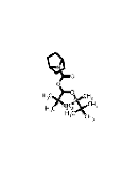 CC(C)(C)C(OC(=O)N1C2CCC1CC2)O[Si](C)(C)C(C)(C)C